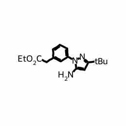 CCOC(=O)Cc1cccc(-n2nc(C(C)(C)C)cc2N)c1